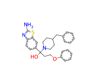 Nc1nc2ccc(C(O)(CCOc3ccccc3)N3CCC(Cc4ccccc4)CC3)cc2s1